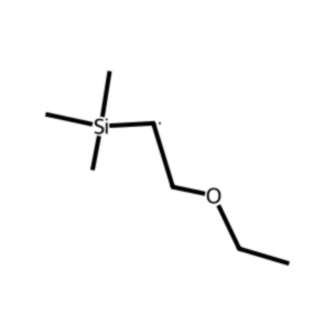 CCOC[CH][Si](C)(C)C